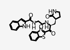 O=C(CNC(=O)c1cc2ccccc2[nH]1)N[C@@H](C[C@@H]1CCNC1=O)C(=O)c1nc2ccccc2s1